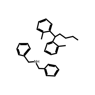 CCCCC(c1ccccc1C)c1ccccc1C.c1ccc(CNCc2ccccc2)cc1